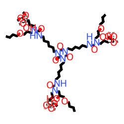 CCCCOCC(O)CN(CCC[Si](OC)(OC)OC)C(=O)NCCCCCCn1c(=O)n(CCCCCCNC(=O)N(CCC[Si](OC)(OC)OC)CC(O)COCCCC)c(=O)n(CCCCCCNC(=O)N(CCC[Si](OC)(OC)OC)CC(O)COCCCC)c1=O